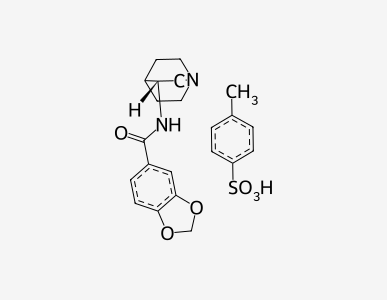 Cc1ccc(S(=O)(=O)O)cc1.O=C(N[C@H]1CN2CCC1CC2)c1ccc2c(c1)OCO2